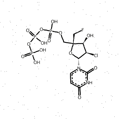 O=c1ccn([C@@H]2O[C@](CF)(COP(=O)(O)OP(=O)(O)OP(=O)(O)O)[C@@H](O)[C@H]2Cl)c(=O)[nH]1